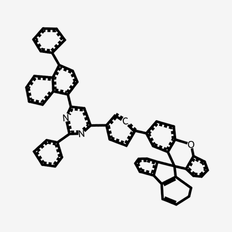 C1=CC2=C(CC1)C1(c3ccccc3Oc3ccc(-c4ccc(-c5cc(-c6ccc(-c7ccccc7)c7ccccc67)nc(-c6ccccc6)n5)cc4)cc31)c1ccccc12